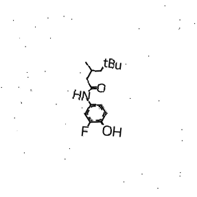 CC(CC(=O)Nc1ccc(O)c(F)c1)CC(C)(C)C